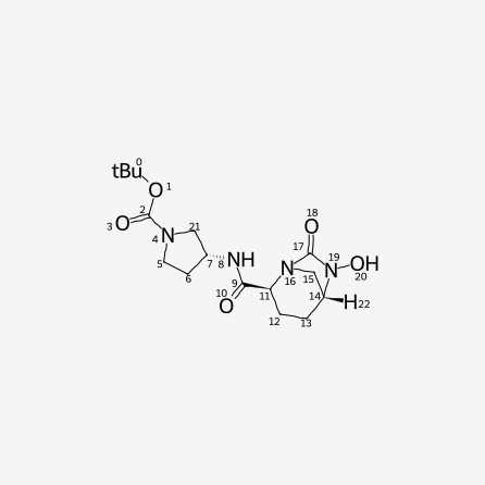 CC(C)(C)OC(=O)N1CC[C@@H](NC(=O)[C@@H]2CC[C@@H]3CN2C(=O)N3O)C1